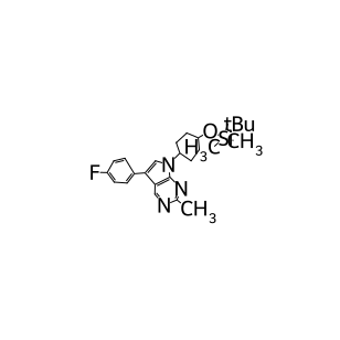 Cc1ncc2c(-c3ccc(F)cc3)cn(C3CCC(O[Si](C)(C)C(C)(C)C)CC3)c2n1